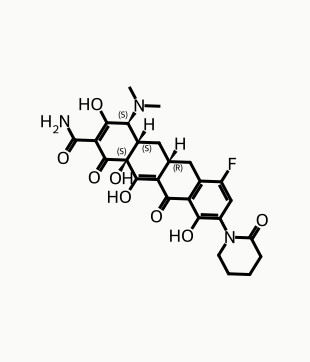 CN(C)[C@@H]1C(O)=C(C(N)=O)C(=O)[C@@]2(O)C(O)=C3C(=O)c4c(O)c(N5CCCCC5=O)cc(F)c4C[C@H]3C[C@@H]12